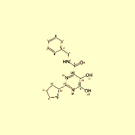 O=C(NCc1ccccc1)c1nc(C2CCCC2)nc(O)c1O